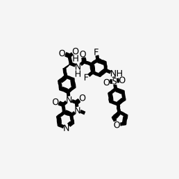 Cn1c(=O)n(-c2ccc(C[C@H](NC(=O)c3c(F)cc(NS(=O)(=O)c4ccc(-c5ccoc5)cc4)cc3F)C(=O)O)cc2)c(=O)c2ccncc21